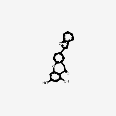 O=C1Cc2cc(-c3cc4ccccc4o3)ccc2Oc2cc(O)cc(O)c21